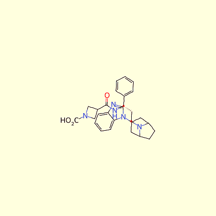 O=C(N[C@@H](CCN1C2CCC1CC(n1cnc3ccccc31)C2)c1ccccc1)C1CN(C(=O)O)C1